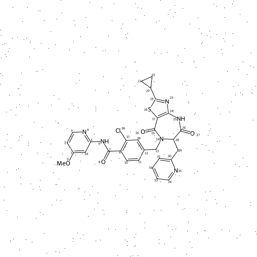 COc1ccnc(NC(=O)c2ccc(CN3C(=O)c4sc(C5CC5)nc4NC(=O)C3Cc3ccccn3)cc2Cl)c1